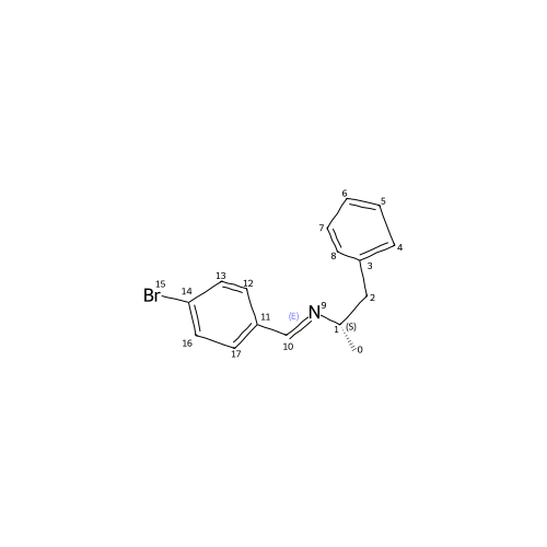 C[C@@H](Cc1ccccc1)/N=C/c1ccc(Br)cc1